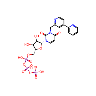 O=c1ccn([C@@H]2O[C@H](COP(=O)(O)OP(=O)(O)OP(=O)(O)O)C(O)C2O)c(=O)n1Cc1cc(-c2ccccn2)ccn1